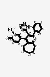 CCn1cc(-c2c3c(nc(-c4ccccc4)c2-c2nnn[nH]2)CCCCC3)ccc1=O